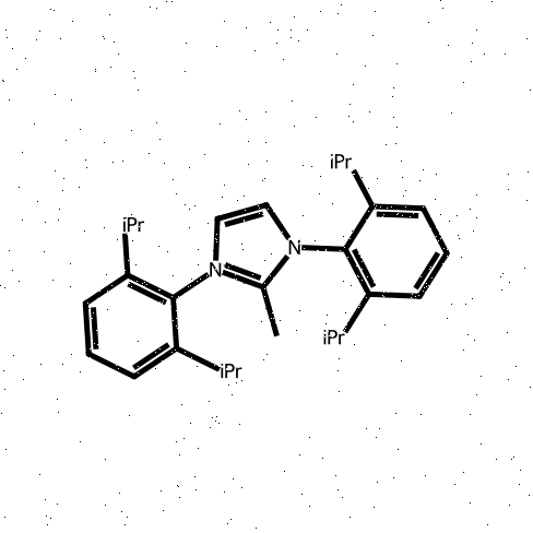 Cc1n(-c2c(C(C)C)cccc2C(C)C)cc[n+]1-c1c(C(C)C)cccc1C(C)C